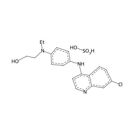 CCN(CCO)c1ccc(Nc2ccnc3cc(Cl)ccc23)cc1.O=S(=O)(O)O